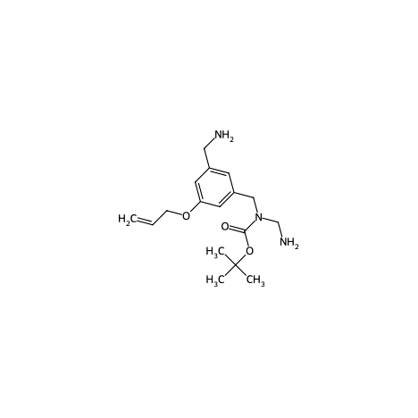 C=CCOc1cc(CN)cc(CN(CN)C(=O)OC(C)(C)C)c1